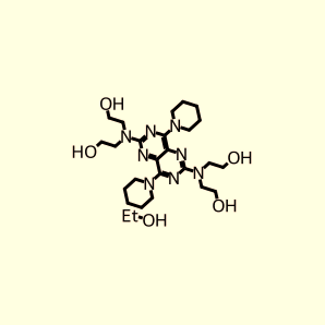 CCO.OCCN(CCO)c1nc(N2CCCCC2)c2nc(N(CCO)CCO)nc(N3CCCCC3)c2n1